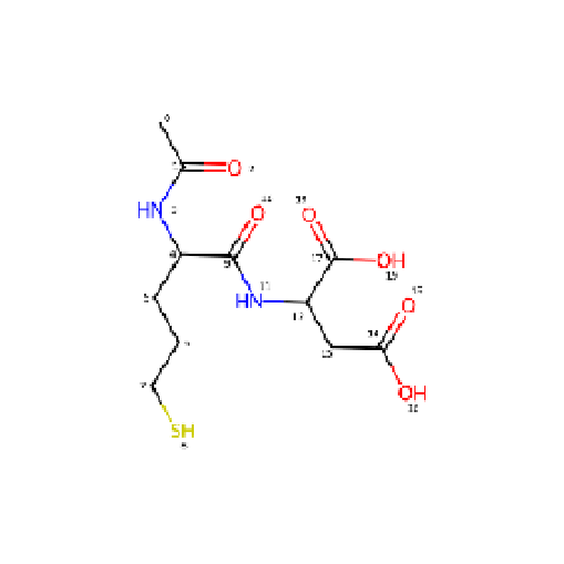 CC(=O)NC(CCCS)C(=O)NC(CC(=O)O)C(=O)O